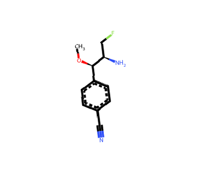 CO[C@H](c1ccc(C#N)cc1)[C@H](N)CF